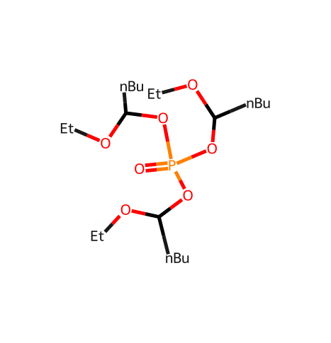 CCCCC(OCC)OP(=O)(OC(CCCC)OCC)OC(CCCC)OCC